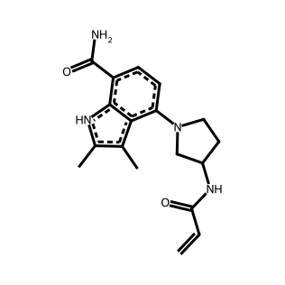 C=CC(=O)NC1CCN(c2ccc(C(N)=O)c3[nH]c(C)c(C)c23)C1